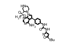 CC(C)(C)c1cc(NC(=O)Nc2ccc(-c3cn(N4CCNCC4S(C)(=O)=O)c4ncnc(N)c34)cc2)no1